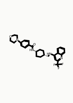 O=C(N[C@H]1CC[C@@H](CNc2cc(C(F)(F)F)nc3ccccc23)CC1)c1ccc(N2CCOCC2)cc1